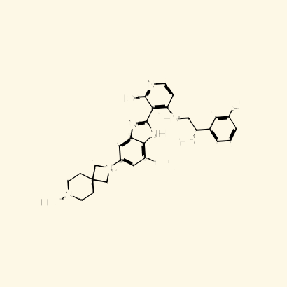 Cc1cc(N2CC3(CCN(C)CC3)C2)cc2nc(-c3c(NC[C@H](O)c4cccc(Cl)c4)ccnc3O)[nH]c12